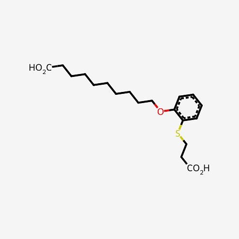 O=C(O)CCCCCCCCCOc1ccccc1SCCC(=O)O